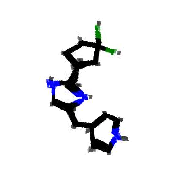 FC1(F)CC[C@H](c2nc(Cc3ccncc3)c[nH]2)C1